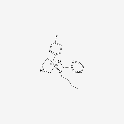 CCCCO[C@H]1CNCC[C@@]1(OCc1ccccc1)c1ccc(F)cc1